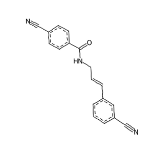 N#Cc1ccc(C(=O)NC/C=C/c2cccc(C#N)c2)cc1